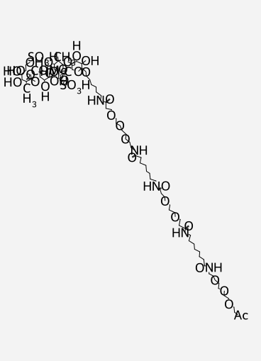 COC(C(=O)O)C(OC1OC(COS(=O)(=O)O)C(O)C(O)C1C)C(O)C(O)OC1C(COS(=O)(=O)O)OC(OC2C(C(=O)O)OC(OCCCCCCNC(=O)CCOCCOCCOCCNC(=O)CCCCCCCNC(=O)CCOCCCOCCC(=O)NCCCCCCCC(=O)NCCOCCOCCOCCC(C)=O)C(O)C2O)C(C)C1O